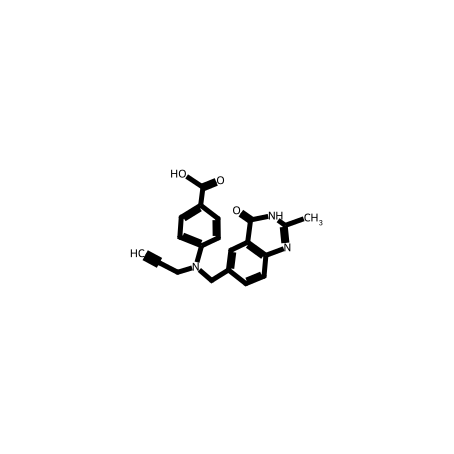 C#CCN(Cc1ccc2nc(C)[nH]c(=O)c2c1)c1ccc(C(=O)O)cc1